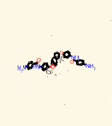 Nc1ccc(C(=O)Nc2ccc(Oc3ccc4c(c3)C3CCC4C3Oc3ccc(NC(=O)c4ccc(N)cc4)cc3C(F)(F)F)c(C(F)(F)F)c2)cc1